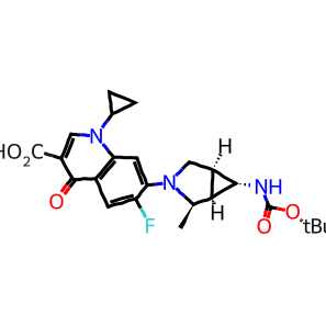 C[C@@H]1[C@H]2[C@@H](CN1c1cc3c(cc1F)c(=O)c(C(=O)O)cn3C1CC1)[C@@H]2NC(=O)OC(C)(C)C